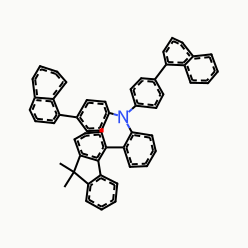 CC1(C)c2ccccc2-c2c(-c3ccccc3N(c3ccc(-c4cccc5ccccc45)cc3)c3ccc(-c4cccc5ccccc45)cc3)cccc21